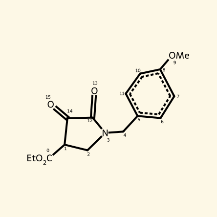 CCOC(=O)C1CN(Cc2ccc(OC)cc2)C(=O)C1=O